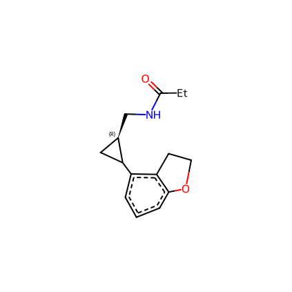 CCC(=O)NC[C@@H]1CC1c1cccc2c1CCO2